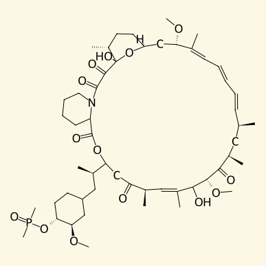 CO[C@H]1C[C@@H]2CC[C@@H](C)C(O)(O2)C(=O)C(=O)N2CCCCC2C(=O)OC([C@H](C)CC2CC[C@@H](OP(C)(C)=O)[C@H](OC)C2)CC(=O)[C@H](C)/C=C(\C)C(O)[C@@H](OC)C(=O)[C@H](C)C[C@H](C)/C=C/C=C/C=C/1C